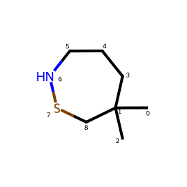 CC1(C)CCCNSC1